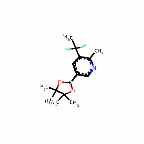 Cc1ncc(B2OC(C)(C)C(C)(C)O2)cc1C(C)(F)F